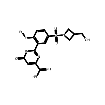 CCCC(=N)c1cc(=O)[nH]c(-c2cc(S(=O)(=O)N3CC(CO)C3)ccc2OCC)n1